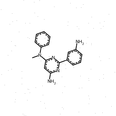 CN(c1ccccc1)c1cc(N)nc(-c2cccc(N)c2)n1